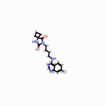 O=C1NC2(CCC2)C(=O)N1CCCCNc1ncnc2cc(Cl)ccc12